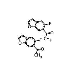 CC(=O)c1cc2occc2cc1F.CC(=O)c1cc2occc2cc1F